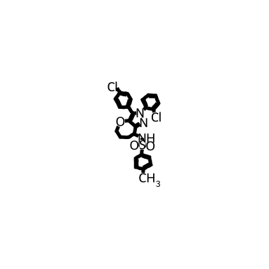 Cc1ccc(S(=O)(=O)NC2CCCOc3c2nn(-c2ccccc2Cl)c3-c2ccc(Cl)cc2)cc1